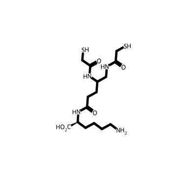 NCCCC[C@H](NC(=O)CCC(CNC(=O)CS)NC(=O)CS)C(=O)O